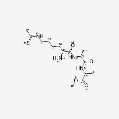 COC(=O)[C@H](C)NC(=O)[C@H](C)NC(=O)[C@@H](N)CCCCNC(C)=S